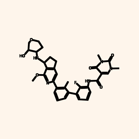 COc1nc(-c2cccc(-c3cccc(NC(=O)c4cn(C)c(=O)n(C)c4=O)c3F)c2C)cc2c1C(NC1CCOCC1O)CC2